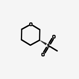 CS(=O)(=O)[C@@H]1CCCOC1